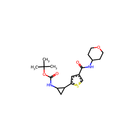 CC(C)(C)OC(=O)NC1CC1c1cc(C(=O)NC2CCOCC2)cs1